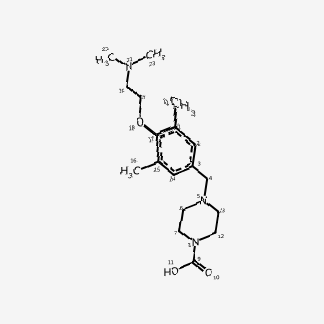 Cc1cc(CN2CCN(C(=O)O)CC2)cc(C)c1OCCN(C)C